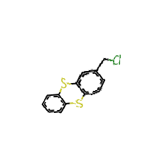 ClCc1ccc2c(c1)Sc1ccccc1S2